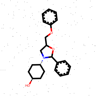 O[C@H]1CC[C@H](N2CC(COc3ccccc3)OC2c2ccccc2)CC1